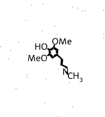 C/N=C/C=C/c1cc(OC)c(O)c(OC)c1